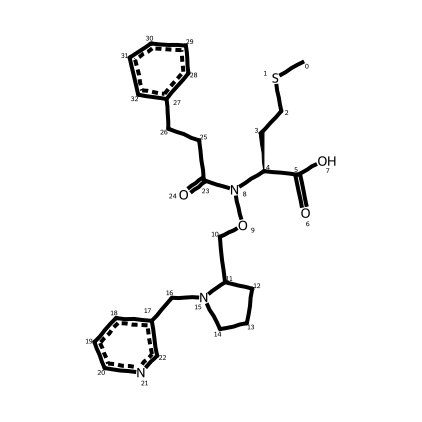 CSCC[C@@H](C(=O)O)N(OCC1CCCN1Cc1cccnc1)C(=O)CCc1ccccc1